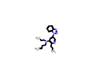 C=CCCN(CCC)c1cc(-n2nnc3ccccc32)cnc1CCC